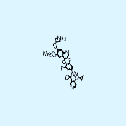 COc1cc2c(Oc3c(F)cc(NC(=O)c4cnccc4OC4CC4)cc3F)ccnc2cc1OC1CNC1